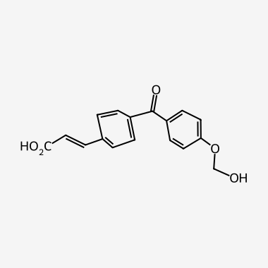 O=C(O)C=Cc1ccc(C(=O)c2ccc(OCO)cc2)cc1